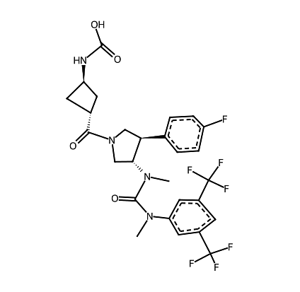 CN(C(=O)N(C)[C@@H]1CN(C(=O)[C@H]2C[C@H](NC(=O)O)C2)C[C@H]1c1ccc(F)cc1)c1cc(C(F)(F)F)cc(C(F)(F)F)c1